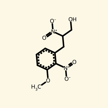 COc1cccc(CC(CO)[N+](=O)[O-])c1[N+](=O)[O-]